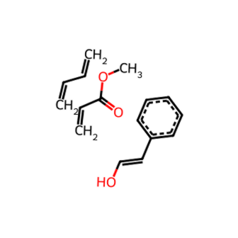 C=CC(=O)OC.C=CC=C.OC=Cc1ccccc1